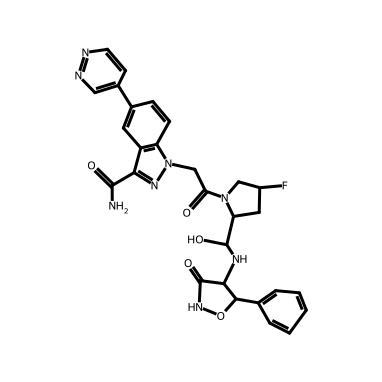 NC(=O)c1nn(CC(=O)N2CC(F)CC2C(O)NC2C(=O)NOC2c2ccccc2)c2ccc(-c3ccnnc3)cc12